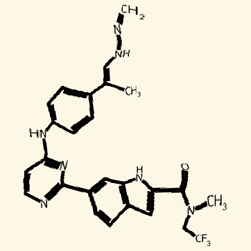 C=NN/C=C(\C)c1ccc(Nc2ccnc(-c3ccc4cc(C(=O)N(C)CC(F)(F)F)[nH]c4c3)n2)cc1